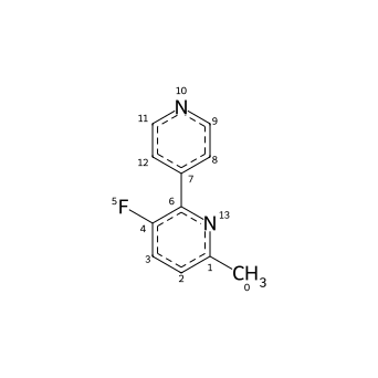 Cc1ccc(F)c(-c2ccncc2)n1